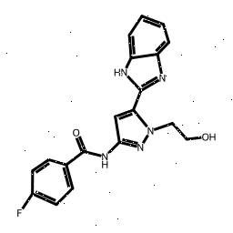 O=C(Nc1cc(-c2nc3ccccc3[nH]2)n(CCO)n1)c1ccc(F)cc1